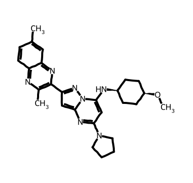 CO[C@H]1CC[C@@H](Nc2cc(N3CCCC3)nc3cc(-c4nc5cc(C)ccc5nc4C)nn23)CC1